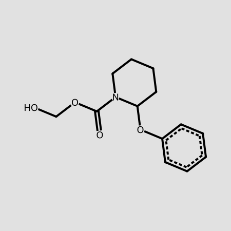 O=C(OCO)N1CCCCC1Oc1ccccc1